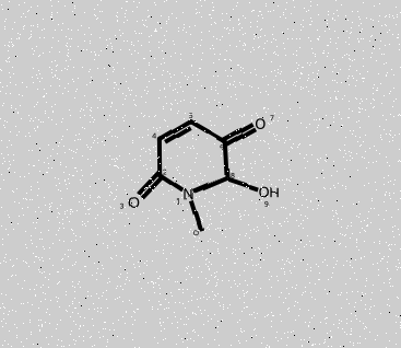 CN1C(=O)C=CC(=O)C1O